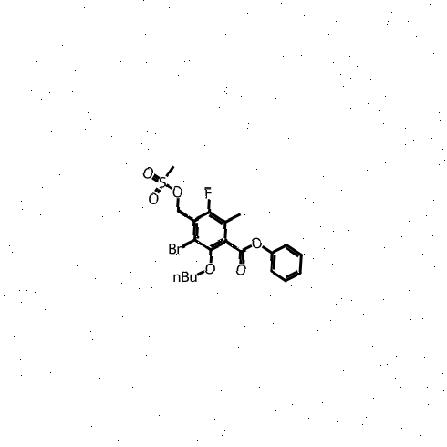 CCCCOc1c(Br)c(COS(C)(=O)=O)c(F)c(C)c1C(=O)Oc1ccccc1